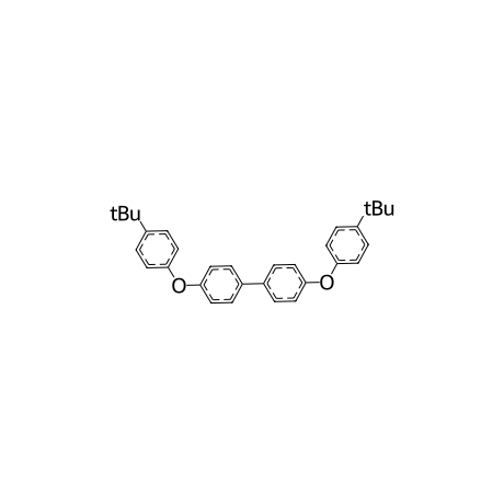 CC(C)(C)c1ccc(Oc2ccc(-c3ccc(Oc4ccc(C(C)(C)C)cc4)cc3)cc2)cc1